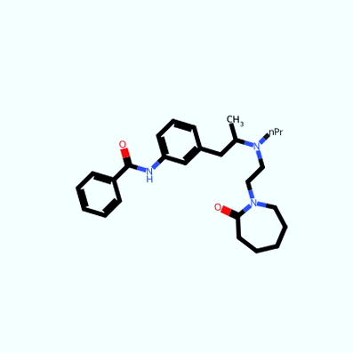 CCCN(CCN1CCCCCC1=O)C(C)Cc1cccc(NC(=O)c2ccccc2)c1